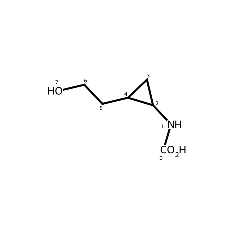 O=C(O)NC1CC1CCO